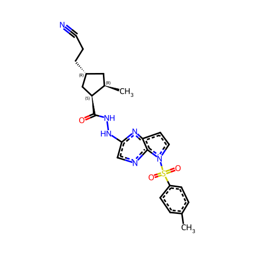 Cc1ccc(S(=O)(=O)n2ccc3nc(NNC(=O)[C@H]4C[C@H](CCC#N)C[C@H]4C)cnc32)cc1